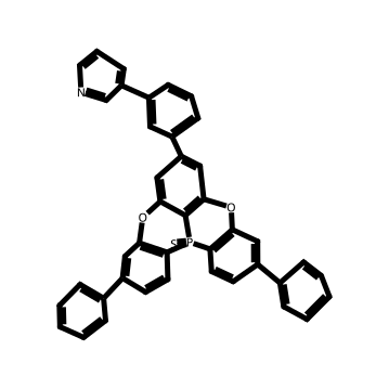 S=P12c3ccc(-c4ccccc4)cc3Oc3cc(-c4cccc(-c5cccnc5)c4)cc(c31)Oc1cc(-c3ccccc3)ccc12